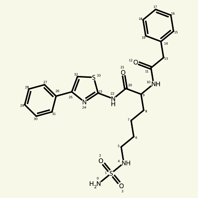 NS(=O)(=O)NCCCCC(NC(=O)Cc1ccccc1)C(=O)Nc1nc(-c2ccccc2)cs1